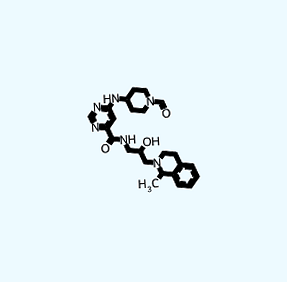 CC1c2ccccc2CCN1CC(O)CNC(=O)c1cc(NC2CCN(C=O)CC2)ncn1